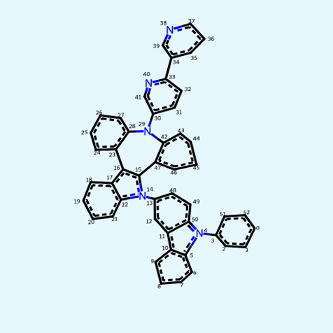 c1ccc(-n2c3ccccc3c3cc(-n4c5c(c6ccccc64)-c4ccccc4N(c4ccc(-c6cccnc6)nc4)c4ccccc4-5)ccc32)cc1